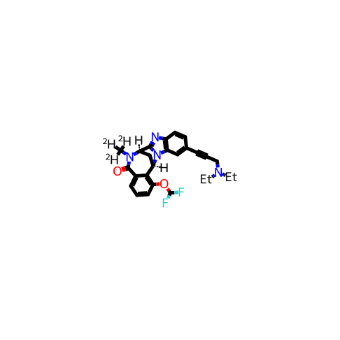 [2H]C([2H])([2H])N1C(=O)c2cccc(OC(F)F)c2[C@H]2C[C@@H]1c1nc3ccc(C#CCN(CC)CC)cc3n12